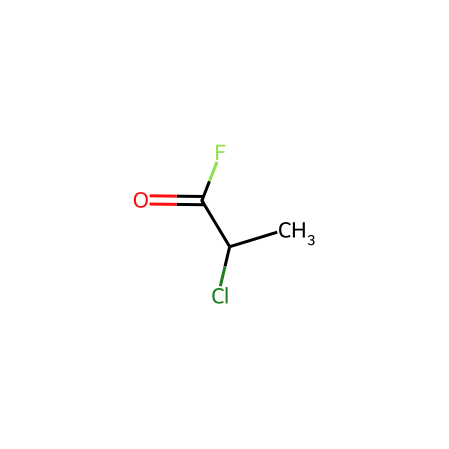 CC(Cl)C(=O)F